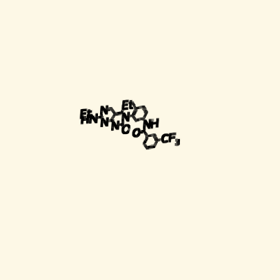 CCNc1ncc2c(CC)n(-c3cc(NC(=O)c4cccc(C(F)(F)F)c4)ccc3C)c(=O)nc2n1